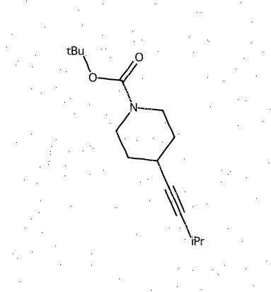 CC(C)C#CC1CCN(C(=O)OC(C)(C)C)CC1